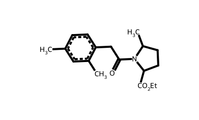 CCOC(=O)C1CCC(C)N1C(=O)Cc1ccc(C)cc1C